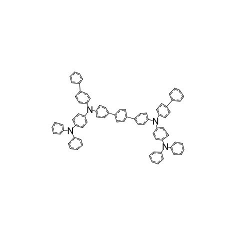 c1ccc(-c2ccc(N(c3ccc(-c4ccc(-c5ccc(N(c6ccc(-c7ccccc7)cc6)c6ccc(N(c7ccccc7)c7ccccc7)cc6)cc5)cc4)cc3)c3ccc(N(c4ccccc4)c4ccccc4)cc3)cc2)cc1